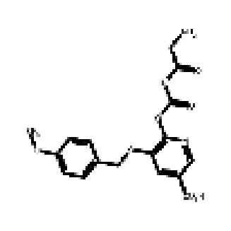 NCC(=O)NC(=O)Oc1ncc(C(=O)O)cc1OCc1ccc(OC(F)(F)F)cc1